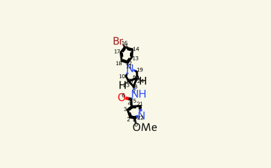 COc1ccc(C(=O)NC2[C@H]3CN(c4ccc(Br)cc4)C[C@@H]23)cn1